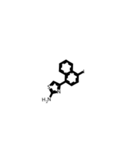 Nc1nc(-c2ccc(I)c3ccccc23)cs1